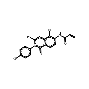 C=CC(=O)Nc1ccc2c(=O)n(-c3ccc(Cl)cc3)c(C(C)C)nc2c1Br